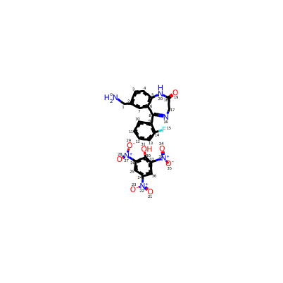 NCc1ccc2c(c1)C(c1ccccc1F)=NCC(=O)N2.O=[N+]([O-])c1cc([N+](=O)[O-])c(O)c([N+](=O)[O-])c1